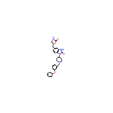 O=C1NCC(Cc2ccc3c(c2)[nH]c(=O)n3C2CCN(Cc3cccc(Oc4ccccc4)c3)CC2)O1